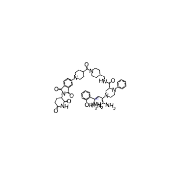 NC(N)=C(/C=C(\N)c1ccccc1O)N1CCN(c2ccccc2)C(C(=O)NCC2CCN(C(=O)C3CCN(c4ccc5c(c4)C(=O)N(C4CCC(=O)NC4=O)C5=O)CC3)CC2)C1